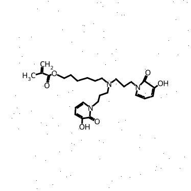 C=C(C)C(=O)OCCCCCCN(CCCn1cccc(O)c1=O)CCCn1cccc(O)c1=O